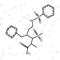 CC(C(N)=O)C(C(CCNS(=O)(=O)c1ccccc1)Cc1ccccc1)S(C)(=O)=O